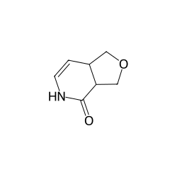 O=C1NC=CC2COCC12